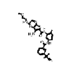 COCCNc1cnc2sc(C(=O)Nc3cc(NC(=O)c4cccc(C(C)(C)C#N)c4)ccc3C)c(N)c2n1